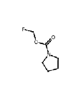 O=C(OCF)N1CCCC1